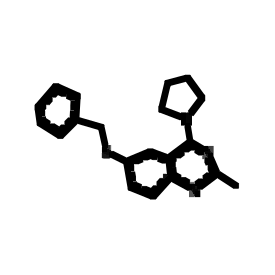 Cc1nc(N2CCCC2)c2cc(SCc3ccccc3)ccc2n1